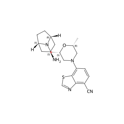 C[C@@H]1CN(c2ccc(C#N)c3ncsc23)C[C@H](CN2[C@@H]3CC[C@H]2C[C@H](N)C3)O1